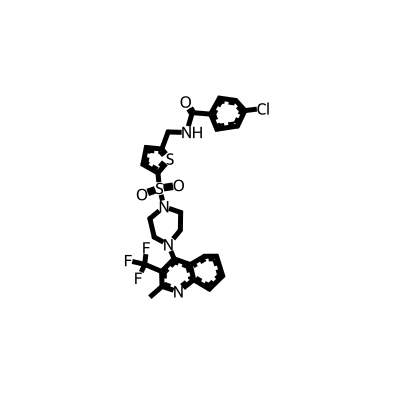 Cc1nc2ccccc2c(N2CCN(S(=O)(=O)c3ccc(CNC(=O)c4ccc(Cl)cc4)s3)CC2)c1C(F)(F)F